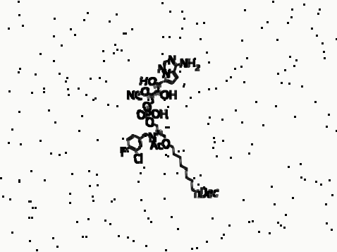 CCCCCCCCCCCCCCCCCCOC[C@H](COP(=O)(O)OC[C@@H](OC#N)[C@@H](O)[C@@H](O)c1ccc2c(N)ncnn12)N(Cc1ccc(F)c(Cl)c1)C(C)=O